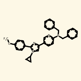 FC(F)(F)Oc1ccc(-c2nc(-c3ccc(N(Cc4ccccc4)Cc4ccccc4)nc3)cn2C2CC2)cc1